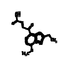 CCc1cc2c(C(=O)CCC(=O)O)ccc(OC)n2n1